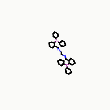 C(=NCCN=Cc1ccccc1P(c1ccccc1)c1ccccc1)c1ccccc1P(c1ccccc1)c1ccccc1